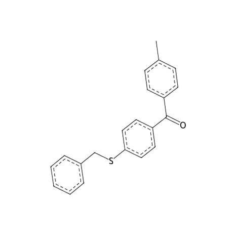 Cc1ccc(C(=O)c2ccc(SCc3ccccc3)cc2)cc1